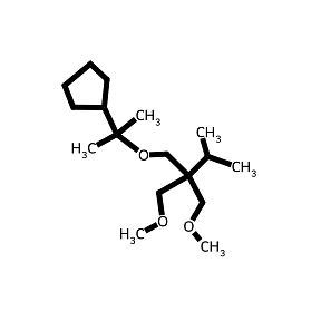 COCC(COC)(COC(C)(C)C1CCCC1)C(C)C